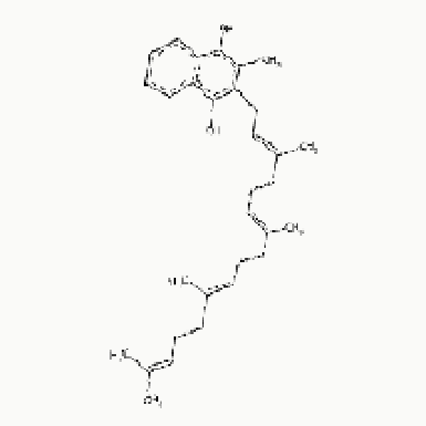 CC(C)=CCC/C(C)=C/CC/C(C)=C/CC/C(C)=C/Cc1c(C)c(O)c2ccccc2c1O